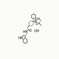 CN(C)C1(c2ccccc2)CCC(=CC(=O)NCc2c[nH]c3ccccc23)CC1.Cl